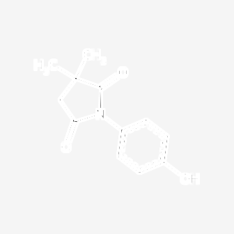 CC1(C)CC(=O)N(c2ccc(O)cc2)C1=O